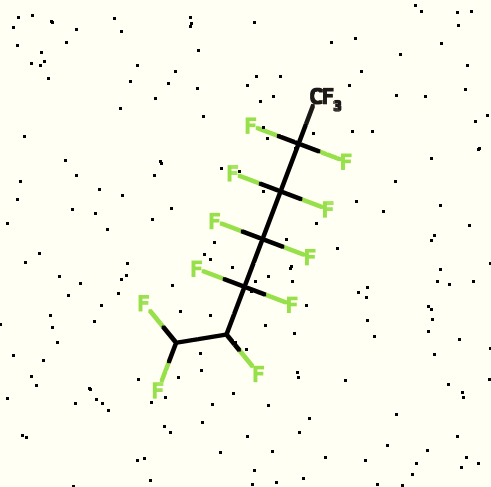 FC(F)C(F)C(F)(F)C(F)(F)C(F)(F)C(F)(F)C(F)(F)F